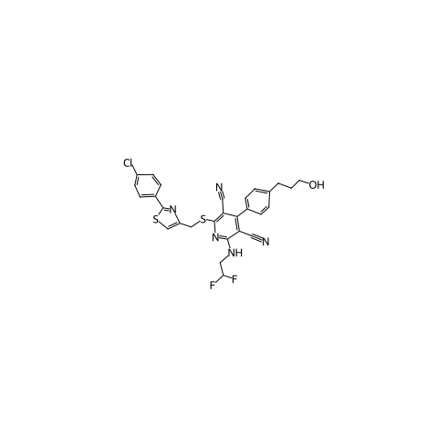 N#Cc1c(NCC(F)F)nc(SCc2csc(-c3ccc(Cl)cc3)n2)c(C#N)c1-c1ccc(CCCO)cc1